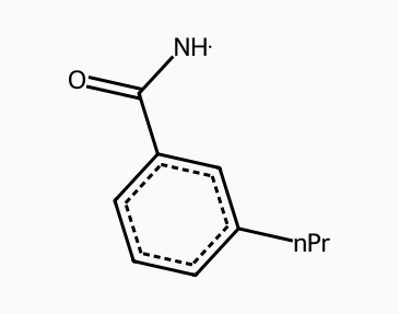 CCCc1cccc(C([NH])=O)c1